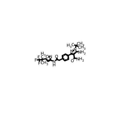 CC(C)(C)n1nc(-c2ccc(CC(=O)Nc3cc(C(C)(C)C(F)(F)F)on3)cc2)c(C(N)=O)c1N